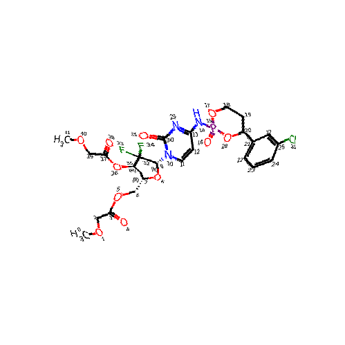 COCC(=O)OC[C@H]1O[C@@H](n2ccc(NP3(=O)OCCC(c4cccc(Cl)c4)O3)nc2=O)C(F)(F)[C@@H]1OC(=O)COC